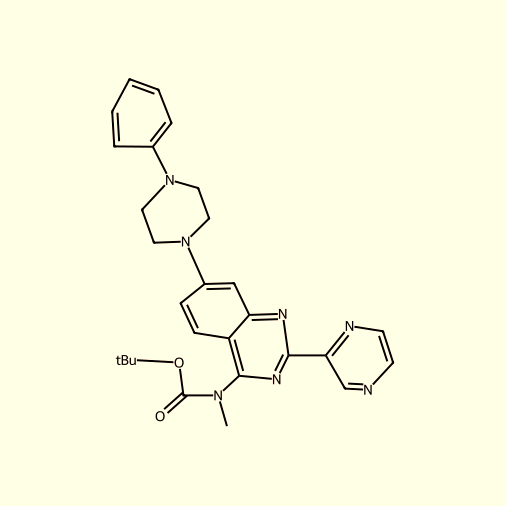 CN(C(=O)OC(C)(C)C)c1nc(-c2cnccn2)nc2cc(N3CCN(c4ccccc4)CC3)ccc12